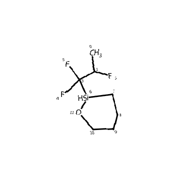 CC(F)C(F)(F)[SiH]1CCCCO1